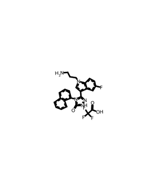 NCCCn1cc(-c2n[nH]c(=O)n2-c2cccc3ccccc23)c2cc(F)ccc21.O=C(O)C(F)(F)F